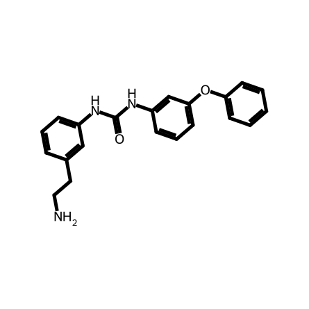 NCCc1cccc(NC(=O)Nc2cccc(Oc3ccccc3)c2)c1